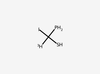 [3H]C(P)(S)I